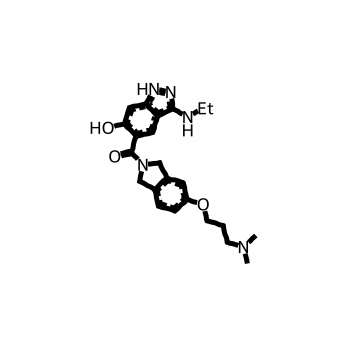 CCNc1n[nH]c2cc(O)c(C(=O)N3Cc4ccc(OCCCN(C)C)cc4C3)cc12